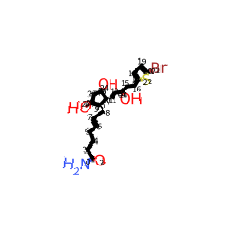 NC(=O)CCCC=CC[C@@H]1[C@@H](C=C[C@@H](O)CCc2ccc(Br)s2)[C@H](O)C[C@@H]1O